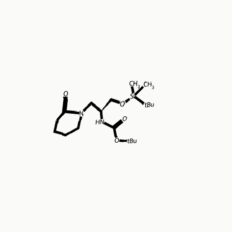 CC(C)(C)OC(=O)N[C@H](CO[Si](C)(C)C(C)(C)C)CN1CCCCC1=O